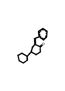 O=C1CCC(C2CCCCC2)CC1=Cc1ccccc1